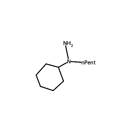 CCCCCN(N)C1CCCCC1